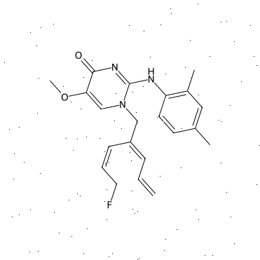 C=C/C=C(\C=C/CF)Cn1cc(OC)c(=O)nc1Nc1ccc(C)cc1C